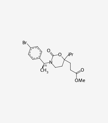 COC(=O)CCC1(C(C)C)CCN([C@@H](C)c2ccc(Br)cc2)C(=O)O1